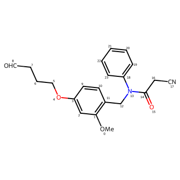 COc1cc(OCCCC=O)ccc1CN(C(=O)CC#N)c1ccccc1